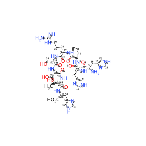 CC(C)C[C@H](NC(=O)[C@H](Cc1c[nH]cn1)NC(=O)[C@@H](N)Cc1c[nH]cn1)C(=O)N[C@@H](CCCNC(=N)N)C(=O)N[C@@H](CO)C(=O)N[C@H](C(=O)N[C@H](C(=O)N[C@@H](Cc1c[nH]cn1)C(=O)O)[C@@H](C)O)[C@@H](C)O